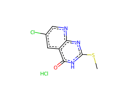 CSc1nc2ncc(Cl)cc2c(=O)[nH]1.Cl